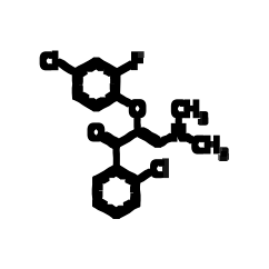 CN(C)/C=C(\Oc1ccc(Cl)cc1F)C(=O)c1ccccc1Cl